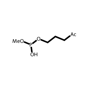 COP(O)OCCCC(C)=O